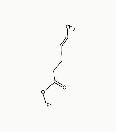 CC=CCCC(=O)OC(C)C